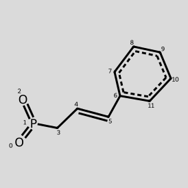 O=P(=O)CC=Cc1ccccc1